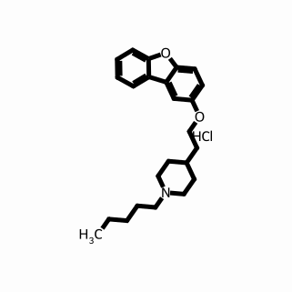 CCCCCN1CCC(CCOc2ccc3oc4ccccc4c3c2)CC1.Cl